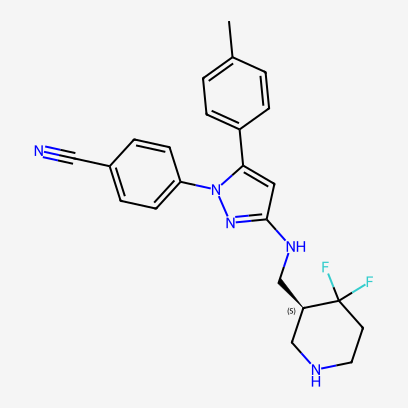 Cc1ccc(-c2cc(NC[C@@H]3CNCCC3(F)F)nn2-c2ccc(C#N)cc2)cc1